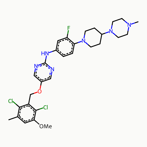 COc1cc(C)c(Cl)c(COc2cnc(Nc3ccc(N4CCC(N5CCN(C)CC5)CC4)c(F)c3)nc2)c1Cl